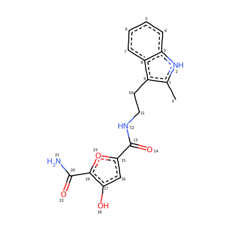 Cc1[nH]c2ccccc2c1CCNC(=O)c1cc(O)c(C(N)=O)o1